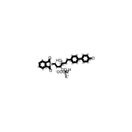 O=C(O)[C@H](CCN1C(=O)c2ccccc2C1=O)[C@H](O)CCc1ccc(-c2ccc(Cl)cc2)cc1.O=C([O-])[O-].[K+].[K+]